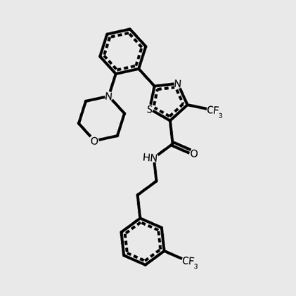 O=C(NCCc1cccc(C(F)(F)F)c1)c1sc(-c2ccccc2N2CCOCC2)nc1C(F)(F)F